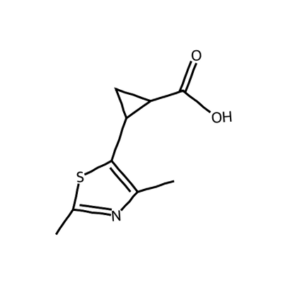 Cc1nc(C)c(C2CC2C(=O)O)s1